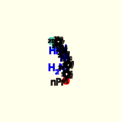 CCCOc1ccc(-c2ccc(CN3Cc4nc(-c5cccc(F)c5F)[nH]c4C=N3)cc2N)cc1